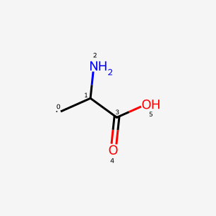 [CH2]C(N)C(=O)O